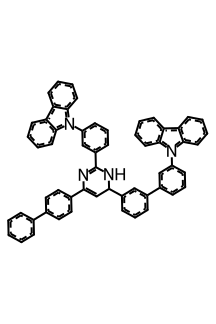 C1=C(c2ccc(-c3ccccc3)cc2)N=C(c2cccc(-n3c4ccccc4c4ccccc43)c2)NC1c1cccc(-c2cccc(-n3c4ccccc4c4ccccc43)c2)c1